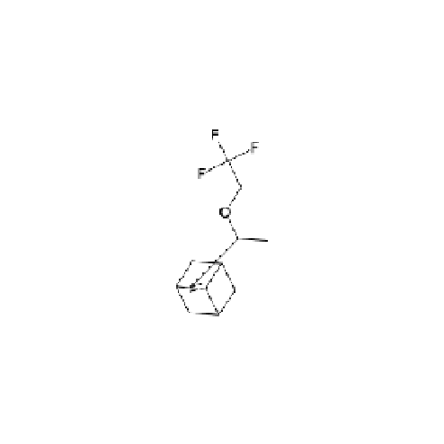 CC(OCC(F)(F)F)C1=C2C3CC(C1)CC2C3